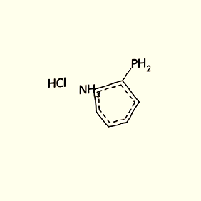 Cl.N.Pc1ccccc1